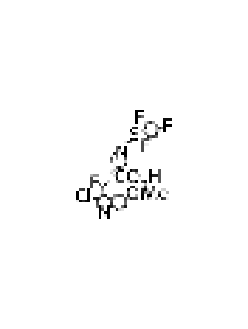 COc1ccc2ncc(Cl)c(C(F)CCC3(C(=O)O)CCN(CCSc4c(F)cc(F)cc4F)CC3)c2c1